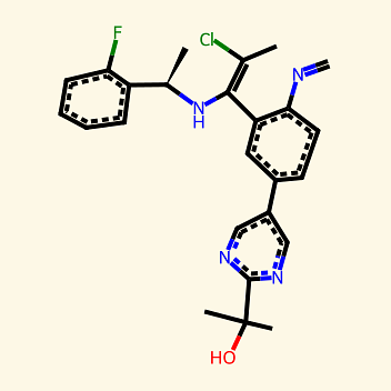 C=Nc1ccc(-c2cnc(C(C)(C)O)nc2)cc1/C(N[C@H](C)c1ccccc1F)=C(\C)Cl